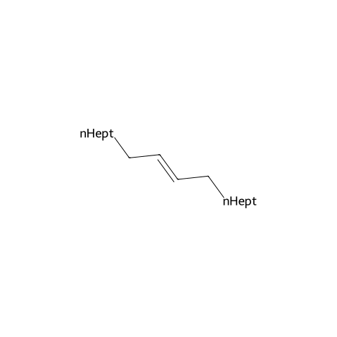 [CH2]CCCCCCC/C=C/CCCCCCC[CH2]